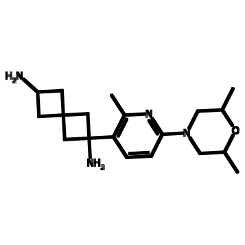 Cc1nc(N2CC(C)OC(C)C2)ccc1C1(N)CC2(CC(N)C2)C1